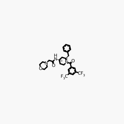 O=C(CN1CCOCC1)N[C@H]1CCN(C(=O)c2cc(C(F)(F)F)cc(C(F)(F)F)c2)[C@H](Cc2ccccc2)C1